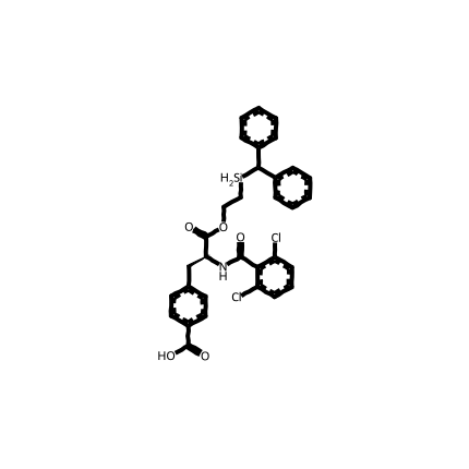 O=C(O)c1ccc(C[C@H](NC(=O)c2c(Cl)cccc2Cl)C(=O)OCC[SiH2]C(c2ccccc2)c2ccccc2)cc1